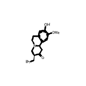 COc1cc2c(cc1O)CCN1C[C@H](CC(C)C)C(=O)CC21